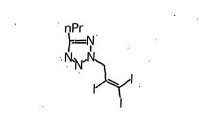 CCCc1nnn(CC(I)=C(I)I)n1